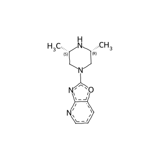 C[C@@H]1CN(c2nc3ncccc3o2)C[C@H](C)N1